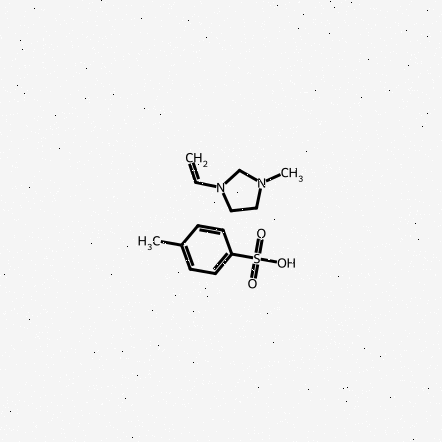 C=CN1CCN(C)C1.Cc1ccc(S(=O)(=O)O)cc1